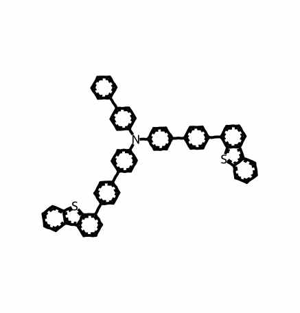 c1ccc(-c2ccc(N(c3ccc(-c4ccc(-c5cccc6c5sc5ccccc56)cc4)cc3)c3ccc(-c4ccc(-c5cccc6c5sc5ccccc56)cc4)cc3)cc2)cc1